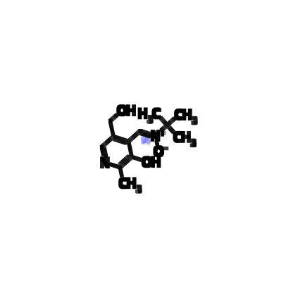 Cc1ncc(CO)c(/C=[N+](\[O-])C(C)(C)C)c1O